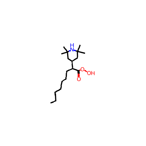 CCCCCCCC(C(=O)OO)C1CC(C)(C)NC(C)(C)C1